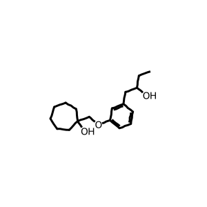 CCC(O)Cc1cccc(OCC2(O)CCCCCC2)c1